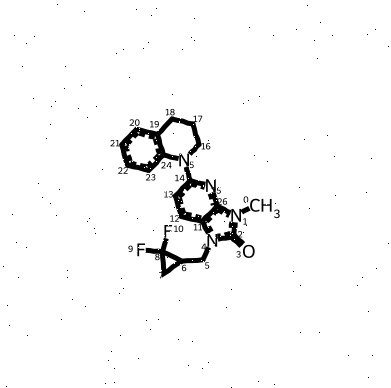 Cn1c(=O)n(CC2CC2(F)F)c2ccc(N3CCCc4ccccc43)nc21